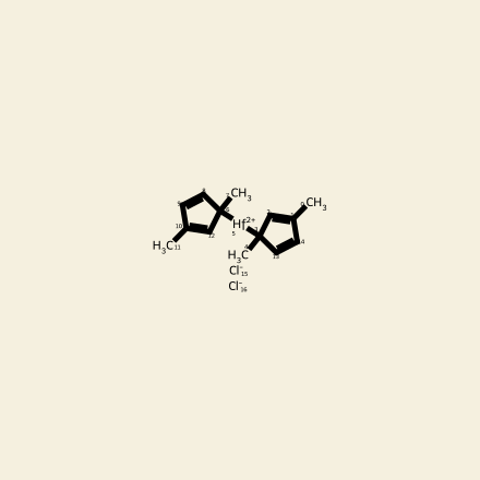 CC1=C[C](C)([Hf+2][C]2(C)C=CC(C)=C2)C=C1.[Cl-].[Cl-]